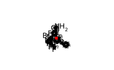 NC(=O)Oc1cc(F)c(-c2c(Br)c3ncnc(OC(F)C(F)F)c3n2-c2ccc(OCc3ccccc3)c(F)c2)c(F)c1